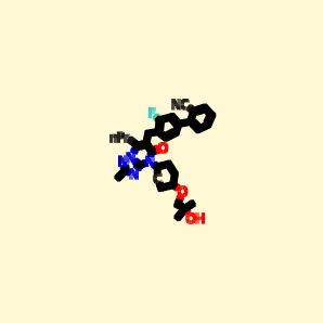 CCCc1c(Cc2ccc(-c3ccccc3C#N)cc2F)c(=O)n(C2CCC(OCC(C)(C)O)CC2)c2nc(C)nn12